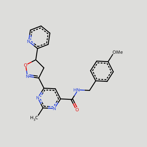 COc1ccc(CNC(=O)c2cc(C3=NOC(c4ccccn4)C3)nc(C)n2)cc1